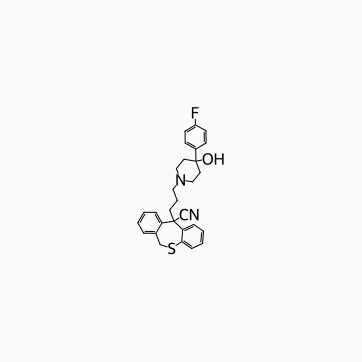 N#CC1(CCCN2CCC(O)(c3ccc(F)cc3)CC2)c2ccccc2CSc2ccccc21